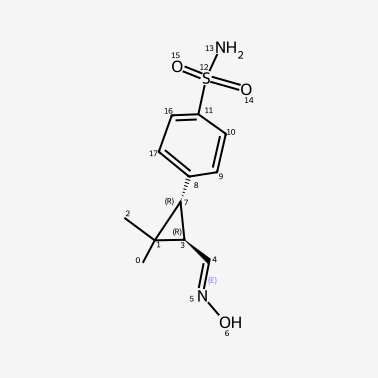 CC1(C)[C@H](/C=N/O)[C@H]1c1ccc(S(N)(=O)=O)cc1